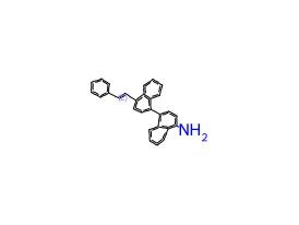 Nc1ccc(-c2ccc(/C=C/c3ccccc3)c3ccccc23)c2ccccc12